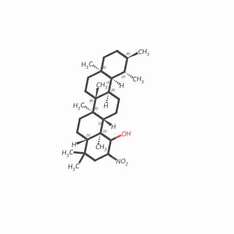 C[C@@H]1[C@H]2[C@H]3CC[C@@H]4[C@@]5(C)C(O)C([N+](=O)[O-])CC(C)(C)[C@@H]5CC[C@@]4(C)[C@]3(C)CC[C@@]2(C)CC[C@H]1C